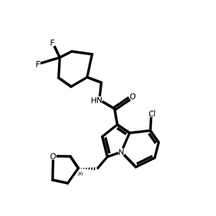 O=C(NCC1CCC(F)(F)CC1)c1cc(C[C@@H]2CCOC2)n2cccc(Cl)c12